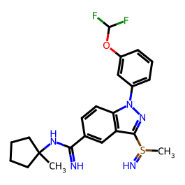 CS(=N)c1nn(-c2cccc(OC(F)F)c2)c2ccc(C(=N)NC3(C)CCCC3)cc12